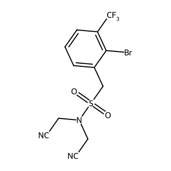 N#CCN(CC#N)S(=O)(=O)Cc1cccc(C(F)(F)F)c1Br